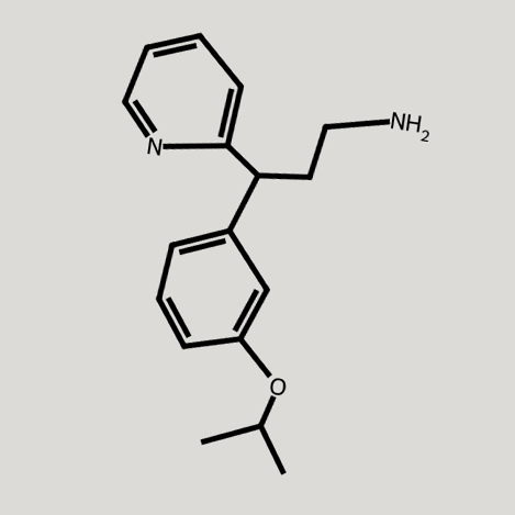 CC(C)Oc1cccc(C(CCN)c2ccccn2)c1